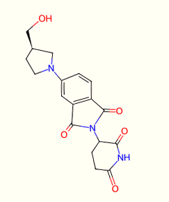 O=C1CCC(N2C(=O)c3ccc(N4CC[C@@H](CO)C4)cc3C2=O)C(=O)N1